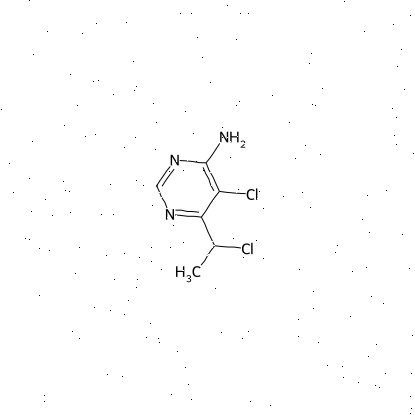 CC(Cl)c1ncnc(N)c1Cl